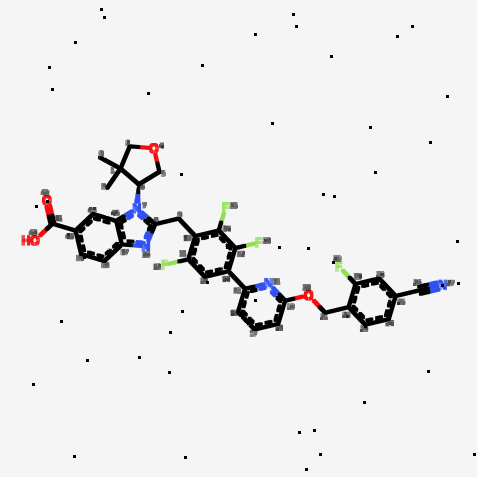 CC1(C)COC[C@H]1n1c(Cc2c(F)cc(-c3cccc(OCc4ccc(C#N)cc4F)n3)c(F)c2F)nc2ccc(C(=O)O)cc21